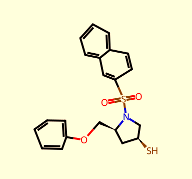 O=S(=O)(c1ccc2ccccc2c1)N1C[C@@H](S)C[C@H]1COc1ccccc1